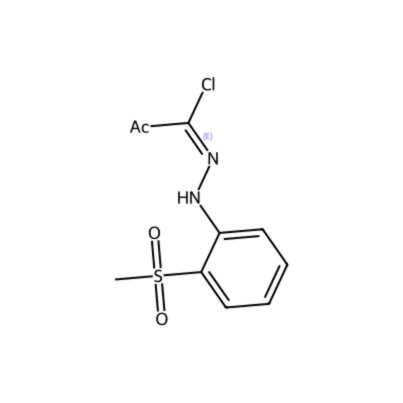 CC(=O)/C(Cl)=N\Nc1ccccc1S(C)(=O)=O